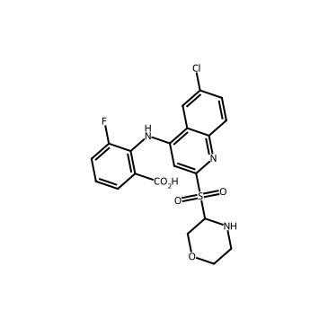 O=C(O)c1cccc(F)c1Nc1cc(S(=O)(=O)C2COCCN2)nc2ccc(Cl)cc12